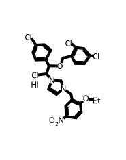 CCOc1ccc([N+](=O)[O-])cc1CN1C=CN(C(Cl)C(OCc2ccc(Cl)cc2Cl)c2ccc(Cl)cc2)C1.I